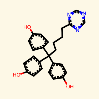 Oc1ccc(C(CCCCc2ncncn2)(c2ccc(O)cc2)c2ccc(O)cc2)cc1